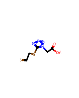 O=C(O)Cn1nnnc1SCC=S